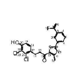 C=C(F)c1cccc(-c2nc(C)c(C(=O)CCc3ccc(O)c(Cl)c3Cl)s2)c1